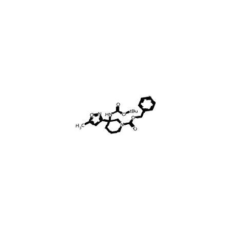 Cc1cc(C2(NC(=O)OC(C)(C)C)CCCN(C(=O)OCc3ccccc3)C2)no1